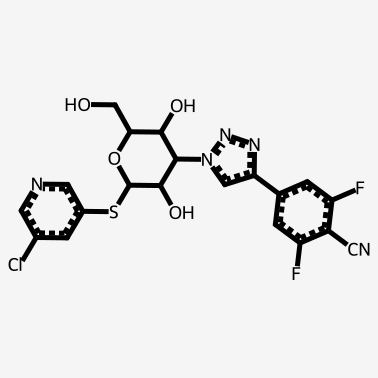 N#Cc1c(F)cc(-c2cn(C3C(O)C(CO)OC(Sc4cncc(Cl)c4)C3O)nn2)cc1F